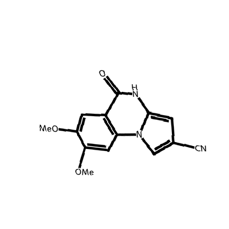 COc1cc2c(=O)[nH]c3cc(C#N)cn3c2cc1OC